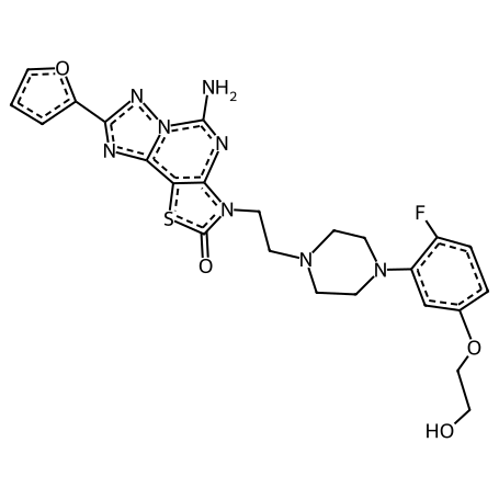 Nc1nc2c(sc(=O)n2CCN2CCN(c3cc(OCCO)ccc3F)CC2)c2nc(-c3ccco3)nn12